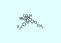 C=CCOc1ccc2c(OCc3ccc(C(F)(F)F)cc3)c(C(=O)NC(C(=O)O)C(C)(C)C)ccc2c1